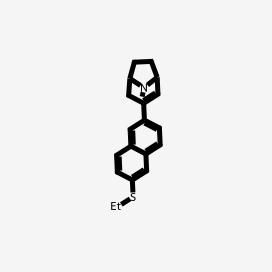 CCSc1ccc2cc(C3=CC4CCC(C3)N4C)ccc2c1